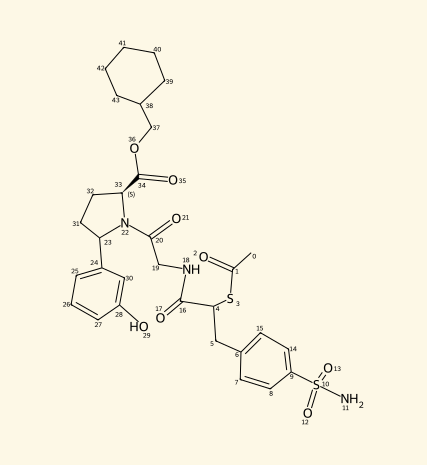 CC(=O)SC(Cc1ccc(S(N)(=O)=O)cc1)C(=O)NCC(=O)N1C(c2cccc(O)c2)CC[C@H]1C(=O)OCC1CCCCC1